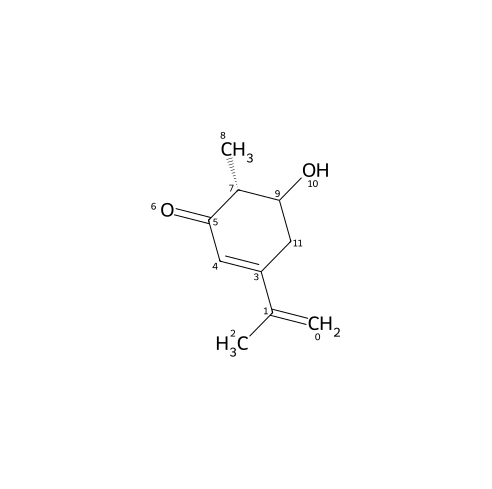 C=C(C)C1=CC(=O)[C@H](C)C(O)C1